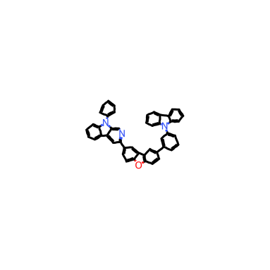 c1ccc(-n2c3ccccc3c3cc(-c4ccc5oc6ccc(-c7cccc(-n8c9ccccc9c9ccccc98)c7)cc6c5c4)ncc32)cc1